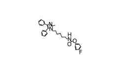 Cc1nc(-c2ccccc2)c(-c2ccccc2)n1CCCCCCCNC(=O)Oc1ccc(F)cc1